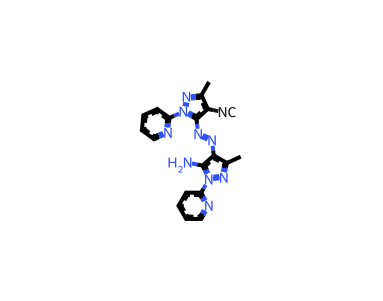 [C-]#[N+]c1c(C)nn(-c2ccccn2)c1/N=N/c1c(C)nn(-c2ccccn2)c1N